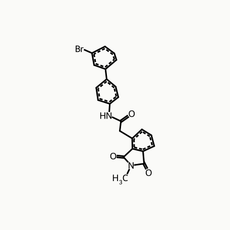 CN1C(=O)c2cccc(CC(=O)Nc3ccc(-c4cccc(Br)c4)cc3)c2C1=O